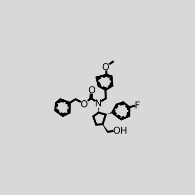 COc1ccc(CN(C(=O)OCc2ccccc2)[C@H]2CC[C@H](CO)[C@H]2c2ccc(F)cc2)cc1